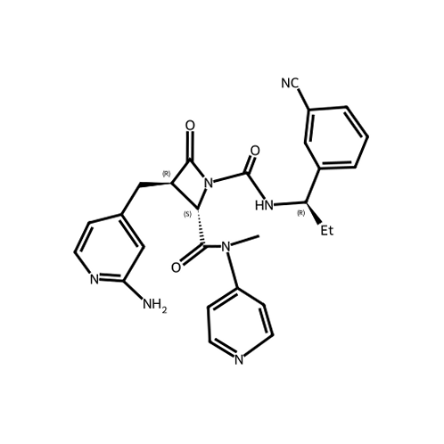 CC[C@@H](NC(=O)N1C(=O)[C@H](Cc2ccnc(N)c2)[C@H]1C(=O)N(C)c1ccncc1)c1cccc(C#N)c1